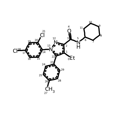 CCc1c(C(=O)NC2CCCCC2)nn(-c2ccc(Cl)cc2Cl)c1-c1ccc(C)cc1